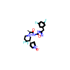 C[C@@H](C(=O)Nc1nc(Cc2cc(F)cc(F)c2)no1)N1CCC(F)(F)[C@@H](c2cc[n+]([O-])cc2)C1